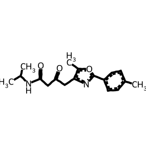 Cc1ccc(-c2nc(CC(=O)CC(=O)NC(C)C)c(C)o2)cc1